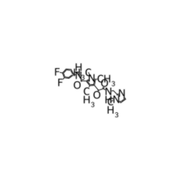 Cc1c(C(=O)C(=O)NCc2nccn2C)c(C)n(C)c1C(=O)Nc1ccc(F)c(F)c1